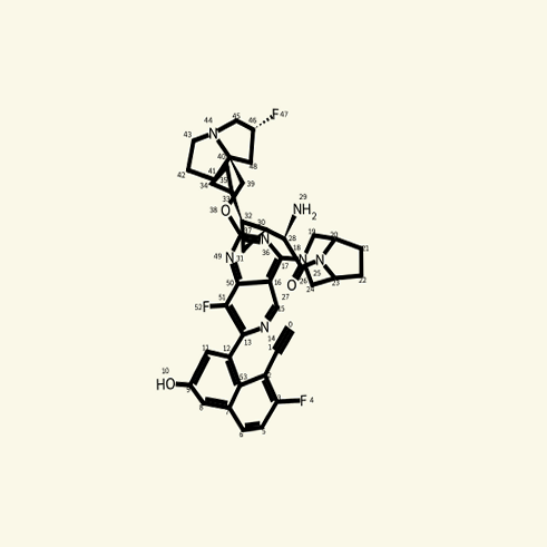 C#Cc1c(F)ccc2cc(O)cc(-c3ncc4c(N5CC6CCC(C5)N6C(=O)[C@H](N)[C@H]5C[C@H]5C5CC5)nc(OC[C@@]56CCCN5C[C@H](F)C6)nc4c3F)c12